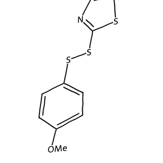 COc1ccc(SSc2nccs2)cc1